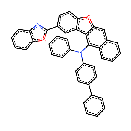 c1ccc(-c2ccc(N(c3ccccc3)c3c4ccccc4cc4oc5ccc(-c6nc7ccccc7o6)cc5c34)cc2)cc1